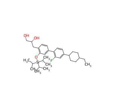 CCC1CCC(c2ccc(-c3ccc(CC(O)CO)c(O[Si](C(C)C)(C(C)C)C(C)C)c3)c(F)c2)CC1